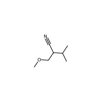 COC[C](C#N)C(C)C